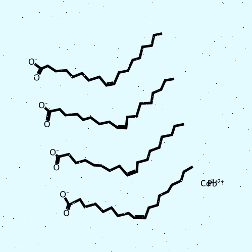 CCCCCCCC/C=C\CCCCCCCC(=O)[O-].CCCCCCCC/C=C\CCCCCCCC(=O)[O-].CCCCCCCC/C=C\CCCCCCCC(=O)[O-].CCCCCCCC/C=C\CCCCCCCC(=O)[O-].[Cd+2].[Pb+2]